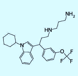 NCCCNCCC(c1cccc(OC(F)(F)F)c1)c1cn(C2CCCCC2)c2ccccc12